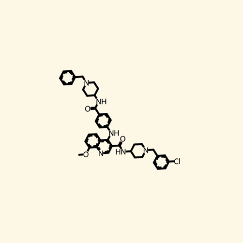 COc1cccc2c(Nc3ccc(C(=O)NC4CCN(Cc5ccccc5)CC4)cc3)c(C(=O)NC3CCN(Cc4cccc(Cl)c4)CC3)cnc12